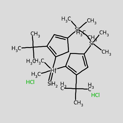 CC(C)(C)C1=[C]([Hf]([CH3])([CH3])(=[SiH2])[C]2=C(C(C)(C)C)C=C([Si](C)(C)C)C2)CC([Si](C)(C)C)=C1.Cl.Cl